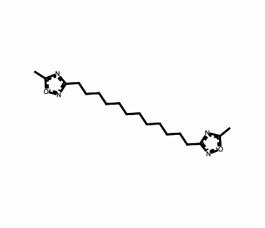 Cc1nc(CCCCCCCCCCCCc2noc(C)n2)no1